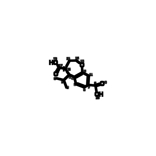 CC(C)C1c2ccc(C(=O)O)cc2OCCN1C(=O)O